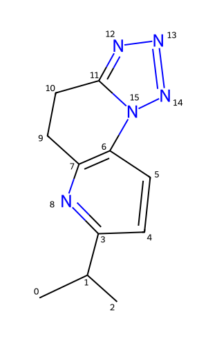 CC(C)c1ccc2c(n1)CCc1nnnn1-2